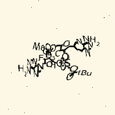 COP1(=O)OCC2OC(C3C=Nc4c(N)ncnc4CC3)C(OP(=O)(SCOC(=O)C(C)(C)C)OC[C@H]3OC(n4cnc5c(N)ncnc54)C(F)C3O1)C2C